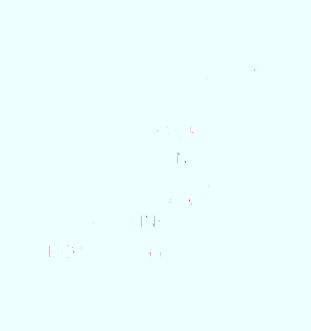 O=C(NCC1CCN(C(=O)OCc2ccc(F)cc2)CCO1)c1ccc(O)cc1